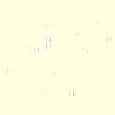 N[C@@H](CS)C(=O)O.O=C(O)CNC(=O)[C@H](CS)NC(=O)CC[C@@H](C(=O)O)[N+](=S)[S-]